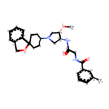 CCO[C@H]1CN(C2CCC3(CC2)OCc2ccccc23)C[C@@H]1NC(=O)CNC(=O)c1cccc(C(F)(F)F)c1